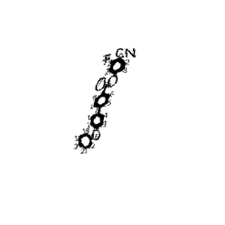 N#Cc1ccc(OC(=O)c2ccc(-c3ccc(OC4CCCCC4)cc3)cc2)cc1F